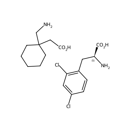 NCC1(CC(=O)O)CCCCC1.N[C@@H](Cc1ccc(Cl)cc1Cl)C(=O)O